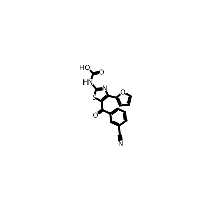 N#Cc1cccc(C(=O)c2sc(NC(=O)O)nc2-c2ccco2)c1